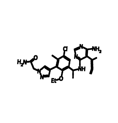 C=C=C(C)c1c(N)ncnc1NC(C)c1cc(Cl)c(C)c(-c2cnn(CC(N)=O)c2)c1OCC